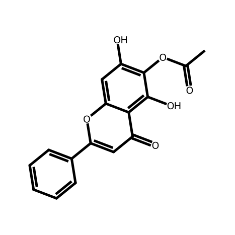 CC(=O)Oc1c(O)cc2oc(-c3ccccc3)cc(=O)c2c1O